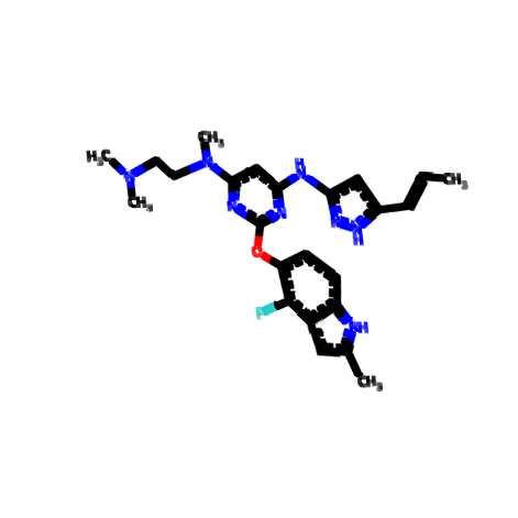 C/C=C/c1cc(Nc2cc(N(C)CCN(C)C)nc(Oc3ccc4[nH]c(C)cc4c3F)n2)n[nH]1